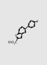 CCOC(=O)c1cc2cc(-c3ccc(F)cc3)ccc2s1